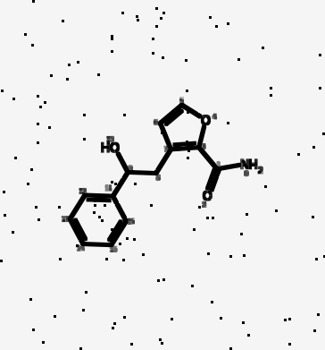 NC(=O)c1occc1CC(O)c1ccccc1